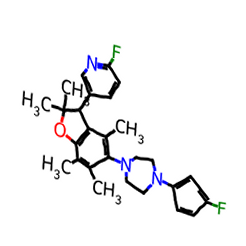 Cc1c(C)c(N2CCN(c3ccc(F)cc3)CC2)c(C)c2c1OC(C)(C)C2c1ccc(F)nc1